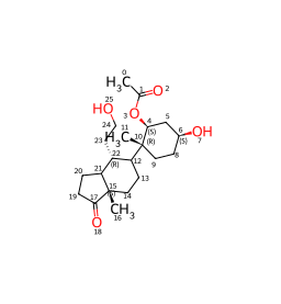 CC(=O)O[C@H]1C[C@@H](O)CC[C@]1(C)C1CC[C@]2(C)C(=O)CCC2[C@@H]1CCO